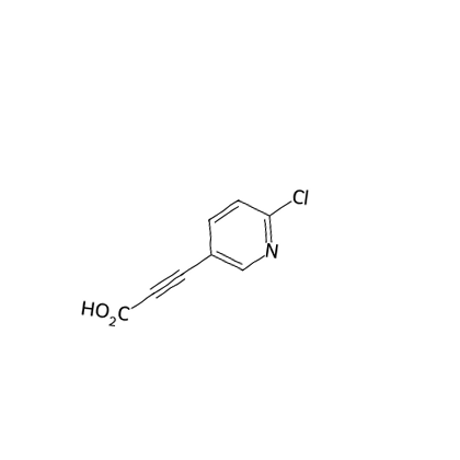 O=C(O)C#Cc1ccc(Cl)nc1